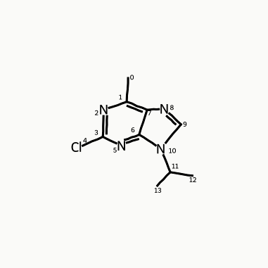 Cc1nc(Cl)nc2c1ncn2C(C)C